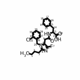 CCCCc1nc(F)c(CC(=O)NC(Cc2ccccc2)C(=O)O)n1Cc1ccccc1Cl